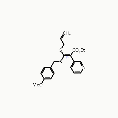 C=CCS/C(SCc1ccc(OC)cc1)=C(\C(=O)OCC)c1cccnc1